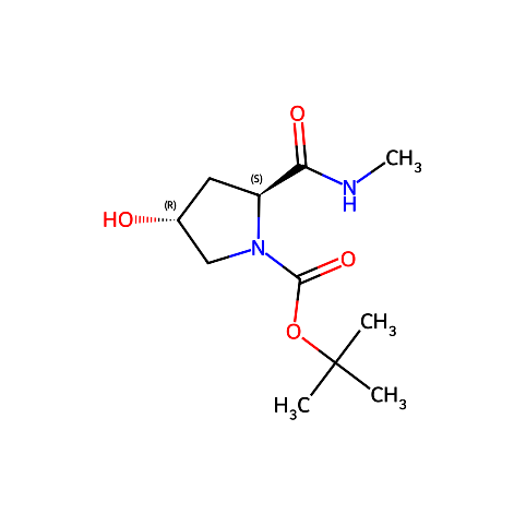 CNC(=O)[C@@H]1C[C@@H](O)CN1C(=O)OC(C)(C)C